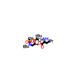 CC(C)C[C@H](N)C(=O)OC[C@H](CN(C(C)(C)C)S(C)(=O)=O)O[C@@H](C)C(C)(C)C